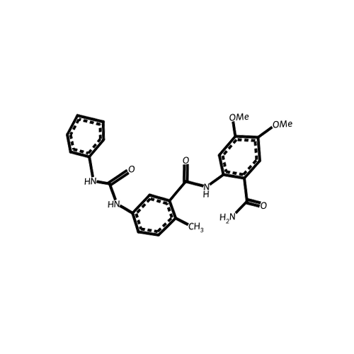 COc1cc(NC(=O)c2cc(NC(=O)Nc3ccccc3)ccc2C)c(C(N)=O)cc1OC